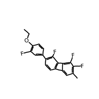 CCOc1ccc(-c2ccc3c(c2F)-c2c-3cc(C)c(F)c2F)cc1F